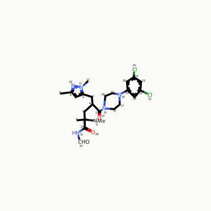 CNC(C)(CC(Cc1cc(C)nn1C)C(=O)N1CCN(c2cc(Cl)cc(Cl)c2)CC1)C(=O)NC=O